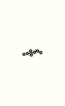 c1ccc(-c2ccc(-c3c4ccccc4c(-c4ccc5c(c4)oc4ccc(-c6ccccc6)cc45)c4ccccc34)cc2)cc1